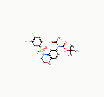 CC(C)(OC(=O)N(C(=O)C(F)(F)F)c1ccc2c(c1)N(S(=O)(=O)c1ccc(F)c(F)c1)CCO2)C(F)(F)F